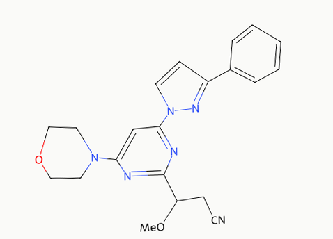 COC(CC#N)c1nc(N2CCOCC2)cc(-n2ccc(-c3ccccc3)n2)n1